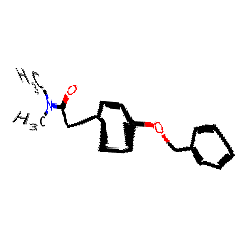 CN(C)C(=O)Cc1ccc(OCc2ccccc2)cc1